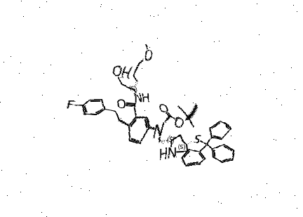 COCC[C@@H](CO)NC(=O)c1cc(N(C[C@@H]2C[C@H](SC(c3ccccc3)(c3ccccc3)c3ccccc3)CN2)C(=O)OC(C)(C)C)ccc1CCc1ccc(F)cc1